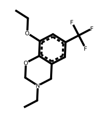 CCOc1cc(C(F)(F)F)cc2c1OCN(CC)C2